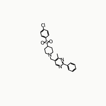 Cc1nc(-c2ccccc2)ncc1CN1CCC(S(=O)(=O)c2ccc(Cl)cc2)CC1